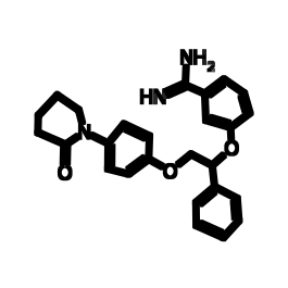 N=C(N)c1cccc(OC(COc2ccc(N3CCCCC3=O)cc2)c2ccccc2)c1